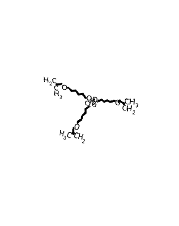 C=C(C)COCCCCCCOP(=O)(OCCCCCCOCC(=C)C)OCCCCCCOCC(=C)C